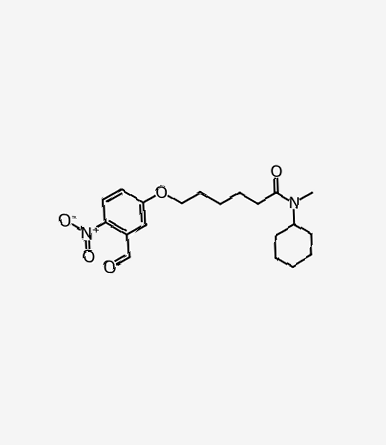 CN(C(=O)CCCCCOc1ccc([N+](=O)[O-])c(C=O)c1)C1CCCCC1